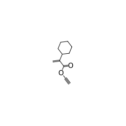 C#COC(=O)C(=C)C1CCCCC1